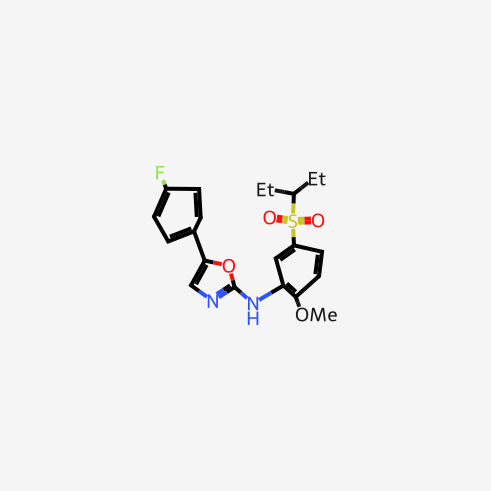 CCC(CC)S(=O)(=O)c1ccc(OC)c(Nc2ncc(-c3ccc(F)cc3)o2)c1